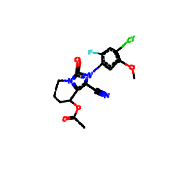 COc1cc(-n2c(C#N)c3n(c2=O)CCCC3OC(C)=O)c(F)cc1Cl